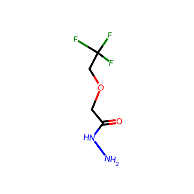 NNC(=O)COCC(F)(F)F